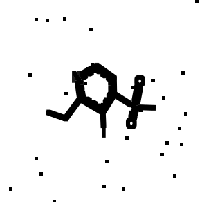 CCc1nccc(S(C)(=O)=O)c1I